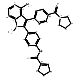 Cn1c(-c2ccc(NC(=O)C3=CCCC3)cc2)c(-c2ccc(C(=O)N3CCCC3)cc2)c2c(N)ncnc21